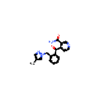 Cc1cnn(Cc2ccccc2C(=O)c2ccncc2C(N)=O)c1